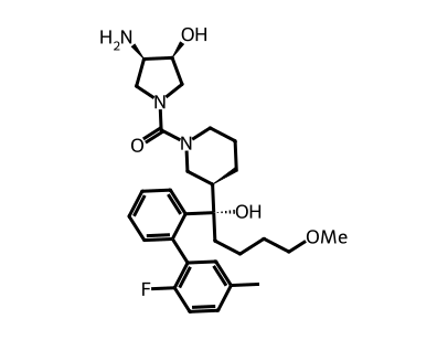 COCCCC[C@@](O)(c1ccccc1-c1cc(C)ccc1F)[C@@H]1CCCN(C(=O)N2C[C@@H](N)[C@@H](O)C2)C1